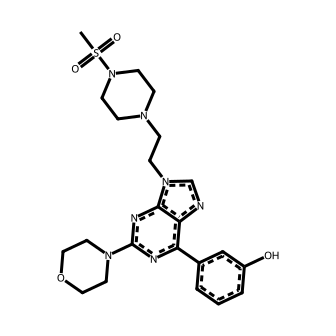 CS(=O)(=O)N1CCN(CCn2cnc3c(-c4cccc(O)c4)nc(N4CCOCC4)nc32)CC1